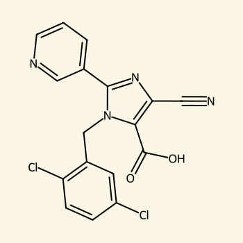 N#Cc1nc(-c2cccnc2)n(Cc2cc(Cl)ccc2Cl)c1C(=O)O